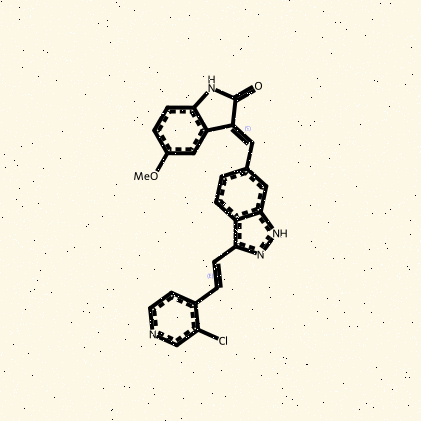 COc1ccc2c(c1)/C(=C\c1ccc3c(/C=C/c4ccncc4Cl)n[nH]c3c1)C(=O)N2